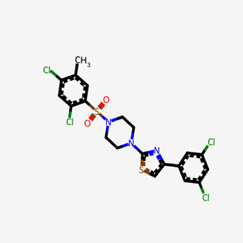 Cc1cc(S(=O)(=O)N2CCN(c3nc(-c4cc(Cl)cc(Cl)c4)cs3)CC2)c(Cl)cc1Cl